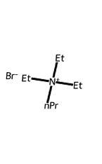 CCC[N+](CC)(CC)CC.[Br-]